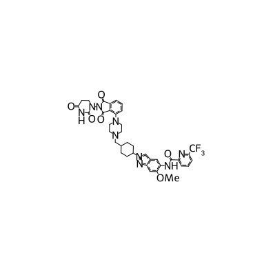 COc1cc2nn(C3CCC(CN4CCN(c5cccc6c5C(=O)N(N5CCC(=O)NC5=O)C6=O)CC4)CC3)cc2cc1NC(=O)c1cccc(C(F)(F)F)n1